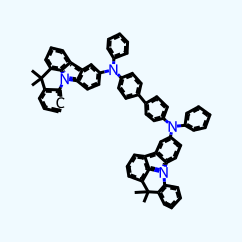 CC1(C)c2ccccc2-n2c3ccc(N(c4ccccc4)c4ccc(-c5ccc(N(c6ccccc6)c6ccc7c(c6)c6cccc8c6n7-c6ccccc6C8(C)C)cc5)cc4)cc3c3cccc1c32